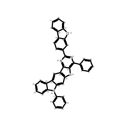 c1ccc(-c2nc(-c3ccc4c(c3)oc3ccccc34)nc3c2sc2cc4c(cc23)c2ccccc2n4-c2ccccc2)cc1